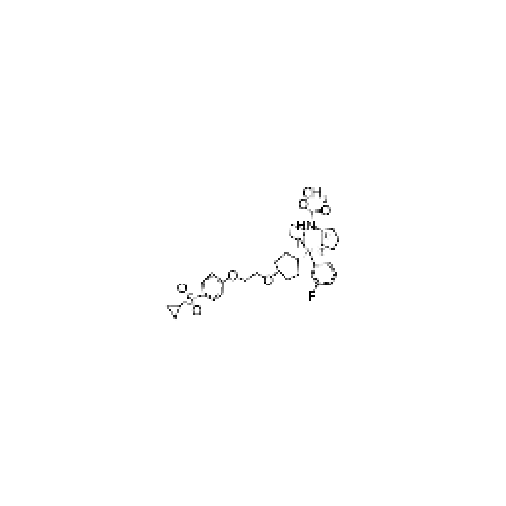 COC(=O)N[C@H]1CCC[C@@H]1C(c1cccc(F)c1)([C@H]1CC[C@H](OCCOc2ccc(S(=O)(=O)C3CC3)cc2)CC1)N1CCC1